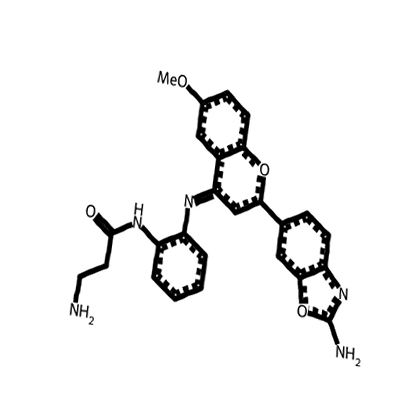 COc1ccc2oc(-c3ccc4nc(N)oc4c3)cc(=Nc3ccccc3NC(=O)CCN)c2c1